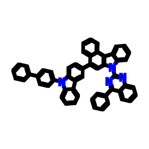 c1ccc(-c2ccc(-n3c4ccccc4c4cc(-c5cc6c(c7ccccc57)c5ccccc5n6-c5nc(-c6ccccc6)c6ccccc6n5)ccc43)cc2)cc1